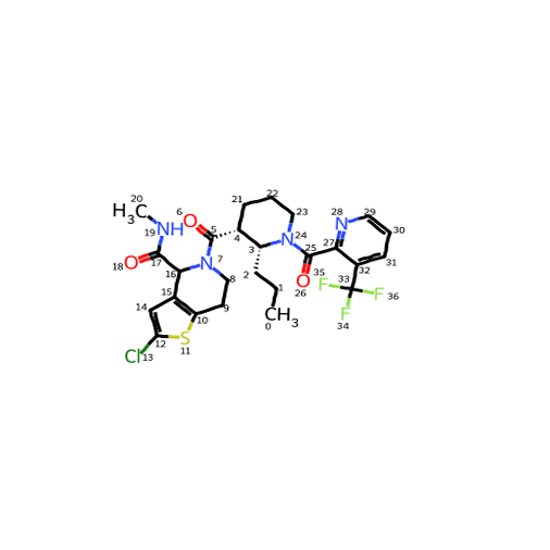 CCC[C@@H]1[C@H](C(=O)N2CCc3sc(Cl)cc3C2C(=O)NC)CCCN1C(=O)c1ncccc1C(F)(F)F